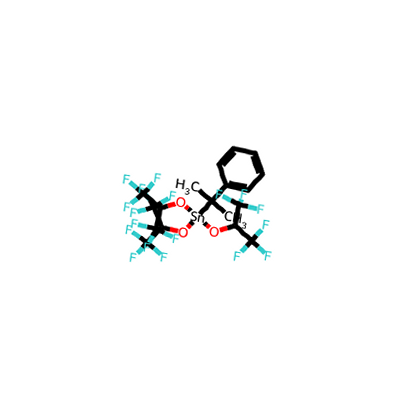 C[C](C)(c1ccccc1)[Sn]([O]C(C(F)(F)F)C(F)(F)F)([O]C(C(F)(F)F)C(F)(F)F)[O]C(C(F)(F)F)C(F)(F)F